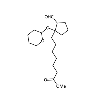 COC(=O)CCCCCCC1(OC2CCCCO2)CCCC1C=O